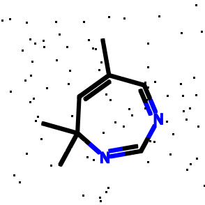 CC1=CC(C)(C)N=CN=C1